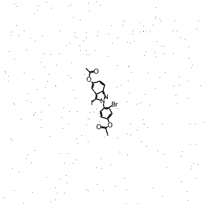 CC(=O)Oc1ccc(-n2nc3ccc(OC(C)=O)cc3c2I)c(Br)c1